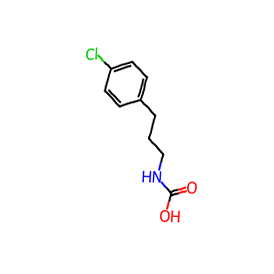 O=C(O)NCCCc1ccc(Cl)cc1